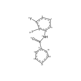 O=C(Nc1cccc(F)c1I)c1ccccc1